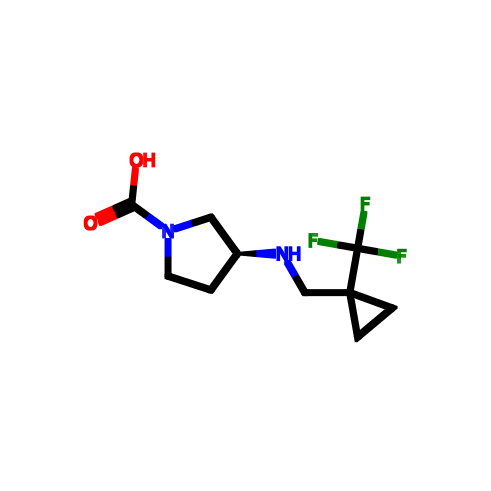 O=C(O)N1CC[C@H](NCC2(C(F)(F)F)CC2)C1